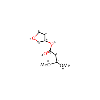 COC(CC(=O)OC1CCOC1)OC